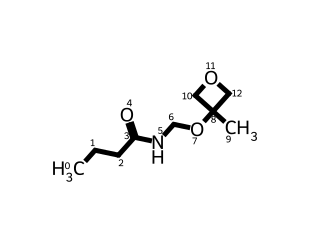 CCCC(=O)NCOC1(C)COC1